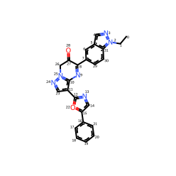 CCn1ncc2cc(C3=Nc4c(-c5ncc(-c6ccccc6)o5)cnn4CC3=O)ccc21